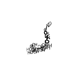 CC(C)(COC1OC(C(=O)O)C(O)C(O)C1O)c1cc(NC(=O)Nc2ccc(-c3cn4c(n3)sc3cc(OCCN5CCOCC5)ccc34)cc2)no1